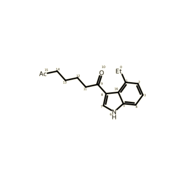 CCc1cccc2[nH]cc(C(=O)CCCCC(C)=O)c12